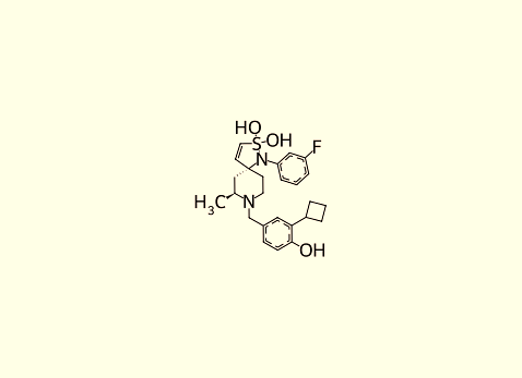 C[C@H]1C[C@@]2(C=CS(O)(O)N2c2cccc(F)c2)CCN1Cc1ccc(O)c(C2CCC2)c1